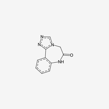 O=C1Cn2cnnc2-c2ccccc2N1